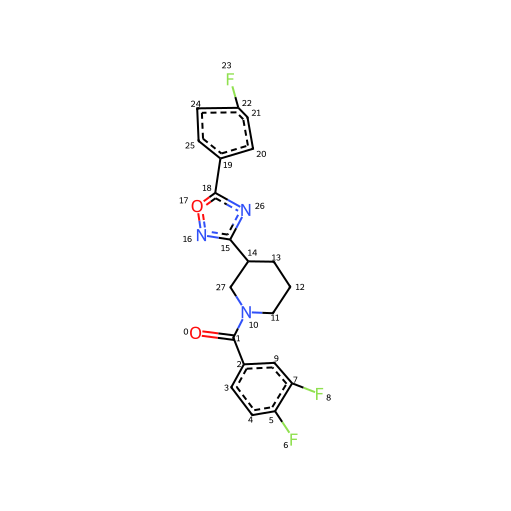 O=C(c1ccc(F)c(F)c1)N1CCCC(c2noc(-c3ccc(F)cc3)n2)C1